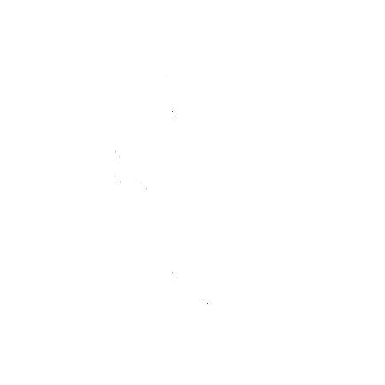 O=C(NCc1cn(-c2ccc(-n3cccnc3=O)cc2F)nn1)c1ccc(Cl)s1